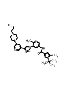 CCCN1CCN(c2cncc(-c3cn(-c4cc(NC(=O)c5cc(C)n(C(C)(C)C)n5)cnc4C)nn3)c2)CC1